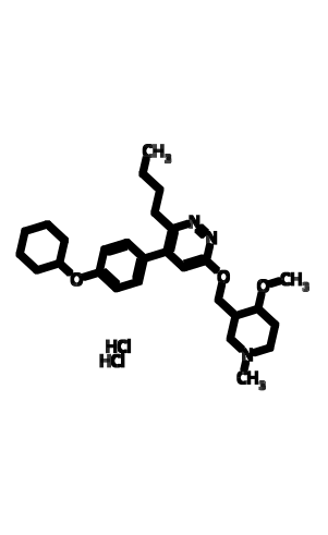 CCCCc1nnc(OCC2CN(C)CCC2OC)cc1-c1ccc(OC2CCCCC2)cc1.Cl.Cl